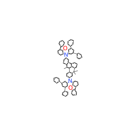 Cc1c2c3c(cccc3c3cc(N(c4cc(-c5ccccc5)cc(-c5ccccc5)c4)c4cccc5c4oc4ccccc45)ccc13)C(C)(C)c1cc(N(c3cc(-c4ccccc4)cc(-c4ccccc4)c3)c3cccc4c3oc3ccccc34)ccc1-2